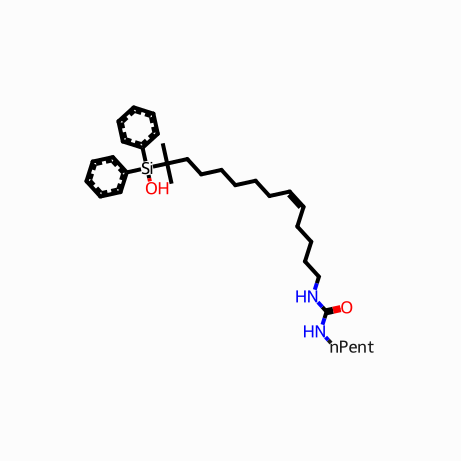 CCCCCNC(=O)NCCCC/C=C\CCCCCCC(C)(C)[Si](O)(c1ccccc1)c1ccccc1